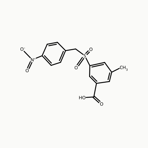 Cc1cc(C(=O)O)cc(S(=O)(=O)Cc2ccc([N+](=O)[O-])cc2)c1